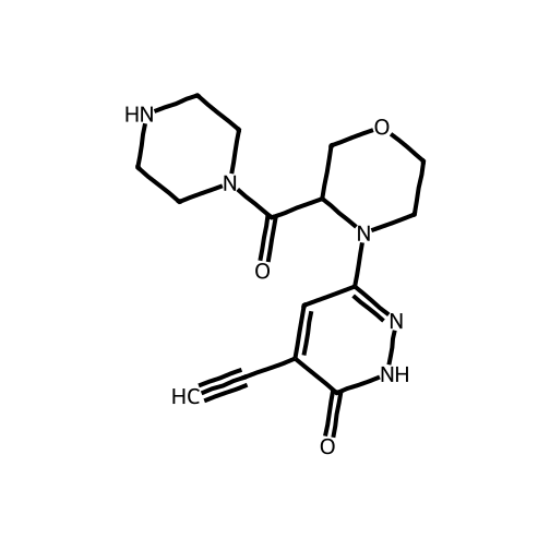 C#Cc1cc(N2CCOCC2C(=O)N2CCNCC2)n[nH]c1=O